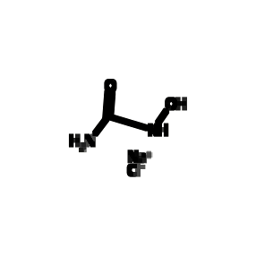 NC(=O)NO.[Cl-].[Na+]